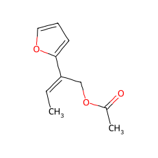 CC=C(COC(C)=O)c1ccco1